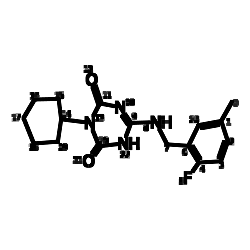 Cc1ccc(F)c(CNc2nc(=O)n(C3CCCCC3)c(=O)[nH]2)c1